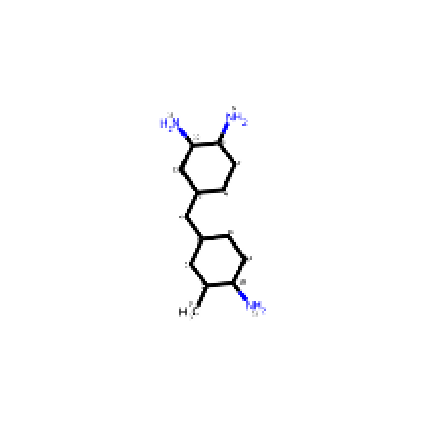 CC1CC(CC2CCC(N)C(N)C2)CCC1N